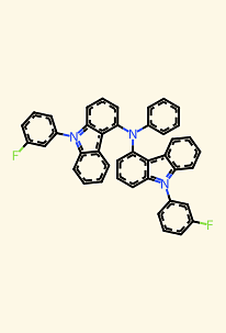 Fc1cccc(-n2c3ccccc3c3c(N(c4ccccc4)c4cccc5c4c4ccccc4n5-c4cccc(F)c4)cccc32)c1